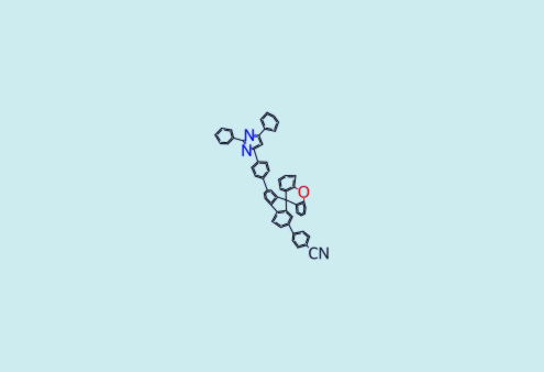 N#Cc1ccc(-c2ccc3c(c2)C2(c4ccccc4Oc4ccccc42)c2cc(-c4ccc(-c5cc(-c6ccccc6)nc(-c6ccccc6)n5)cc4)ccc2-3)cc1